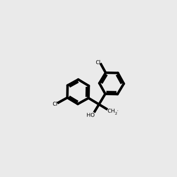 [CH2]C(O)(c1cccc(Cl)c1)c1cccc(Cl)c1